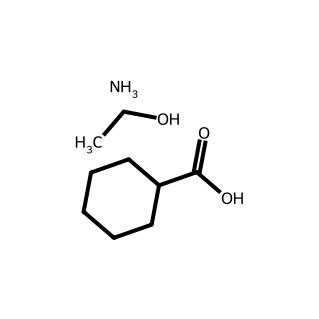 CCO.N.O=C(O)C1CCCCC1